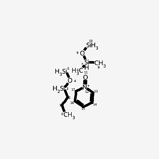 CCC[SiH2]O[SiH3].C[SiH](C)O[SiH3].O=[N+]1C=CC=CC1